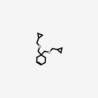 [C]1=CCC(COCC2CC2)(COCC2CC2)CC1